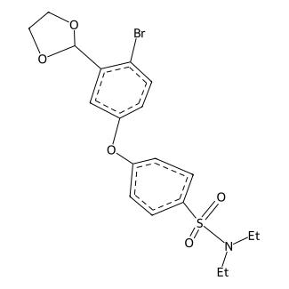 CCN(CC)S(=O)(=O)c1ccc(Oc2ccc(Br)c(C3OCCO3)c2)cc1